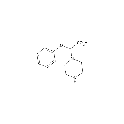 O=C(O)C(Oc1ccccc1)N1CCNCC1